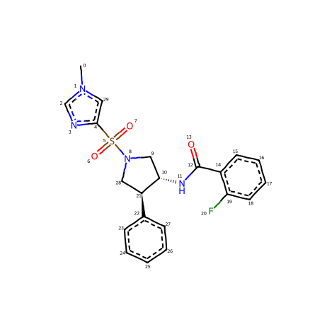 Cn1cnc(S(=O)(=O)N2C[C@H](NC(=O)c3ccccc3F)[C@@H](c3ccccc3)C2)c1